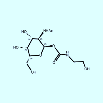 CC(=O)N[C@H]1[C@@H](OC(=O)NCCO)O[C@H](CO)[C@H](O)[C@@H]1O